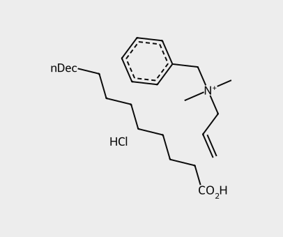 C=CC[N+](C)(C)Cc1ccccc1.CCCCCCCCCCCCCCCCCC(=O)O.Cl